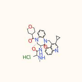 CNC(C)C(=O)N[C@@H]1C(=O)N(Cc2c(C3CC3)cnc3ccccc23)c2ccccc2N(C(=O)C2CCOCC2)[C@H]1C.Cl